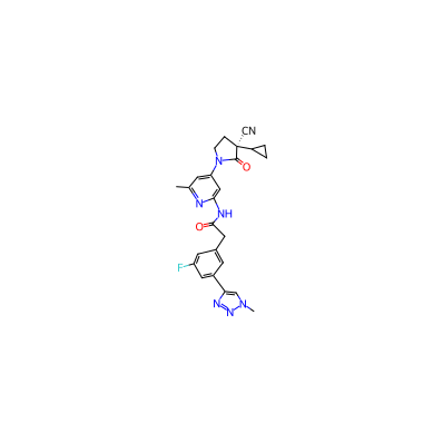 Cc1cc(N2CC[C@@](C#N)(C3CC3)C2=O)cc(NC(=O)Cc2cc(F)cc(-c3cn(C)nn3)c2)n1